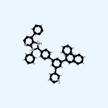 c1ccc(-c2ccnc3c2NC(c2ccc(-c4cc(-c5cccnc5)cc(-c5cc6ccccc6c6ccccc56)c4)cc2)N3c2ccccc2)cc1